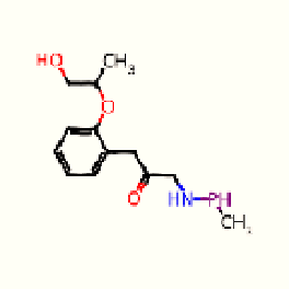 CPNCC(=O)Cc1ccccc1O[C@H](C)CO